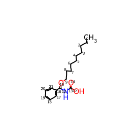 CCCCCCCCCCOC(NC(=O)O)c1ccccc1